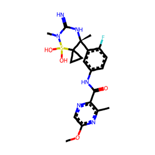 COc1cnc(C(=O)Nc2ccc(F)c([C@@]3(C)NC(=N)N(C)S(O)(O)C34CC4)c2)c(C)n1